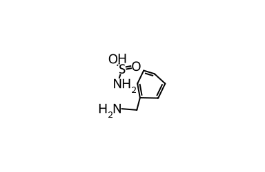 NCc1ccccc1.N[SH](=O)=O